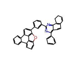 C1=Cc2ccc3c(-c4ccccc4)nc(-c4cccc(-c5ccc6c7ccccc7c7cccc8oc5c6c87)c4)nc3c2CC1